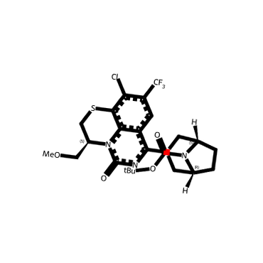 COC[C@H]1CSc2c(Cl)c(C(F)(F)F)cc3c(N4C[C@H]5CC[C@@H](C4)N5C(=O)OC(C)(C)C)nc(=O)n1c23